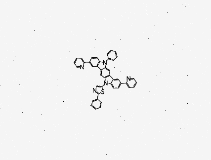 c1ccc(-c2ncc(-n3c4ccc(-c5ccccn5)cc4c4cc5c(cc43)c3cc(-c4ccccn4)ccc3n5-c3ccccc3)s2)cc1